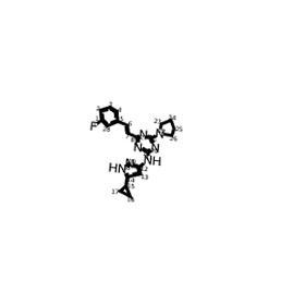 Fc1cccc(/C=C/c2nc(Nc3cc(C4CC4)[nH]n3)nc(N3CCCC3)n2)c1